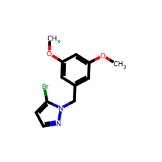 COc1cc(Cn2nccc2Br)cc(OC)c1